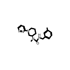 Cc1cccc(CNC(=O)N(C)[C@@H]2CCCN(c3cccnn3)C2)c1